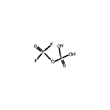 O=P(O)(O)OP(=O)(F)F